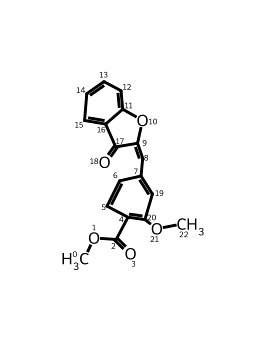 COC(=O)c1ccc(C=C2Oc3ccccc3C2=O)cc1OC